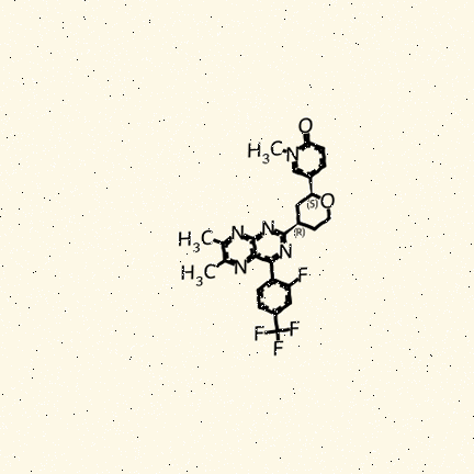 Cc1nc2nc([C@@H]3CCO[C@H](c4ccc(=O)n(C)c4)C3)nc(-c3ccc(C(F)(F)F)cc3F)c2nc1C